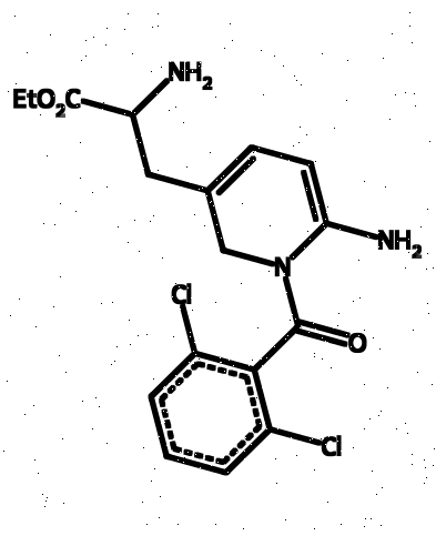 CCOC(=O)C(N)CC1=CC=C(N)N(C(=O)c2c(Cl)cccc2Cl)C1